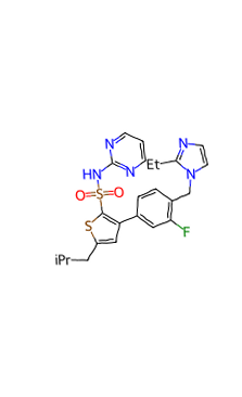 CCc1nccn1Cc1ccc(-c2cc(CC(C)C)sc2S(=O)(=O)Nc2ncccn2)cc1F